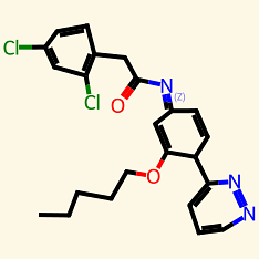 CCCCCOC1=C/C(=N\C(=O)Cc2ccc(Cl)cc2Cl)C=CC1c1cccnn1